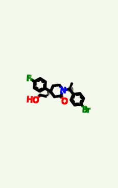 C[C@@H](c1ccc(Br)cc1)N1CC[C@](CCO)(c2ccc(F)cc2)CC1=O